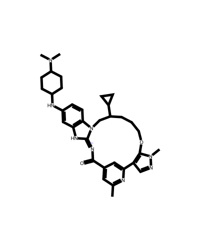 Cc1cc2cc(n1)-c1cnn(C)c1OCCCC(C1CC1)CN1/C(=N/C2=O)Nc2cc(NC3CCC(N(C)C)CC3)ccc21